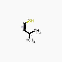 CC(C)/C=C\S